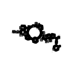 CCn1c(-c2cccnc2[C@H](C)OC)c2c3cc(ccc31)-c1cccc(c1)C[C@H](NC(=O)C(C(C)C)N1CC[C@]3(CCN(C(=O)C#C[C@@H]4COCCN4C)C3)C1=O)C(=O)N1CCC[C@H](N1)C(=O)OCC(C)(C)C2